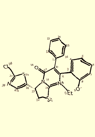 CC[n+]1c(-c2ccccc2[O-])c(-c2ccccc2)c(=O)n2c1SC[C@@H]2c1cnc(Cl)s1